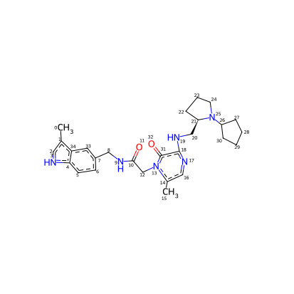 Cc1c[nH]c2ccc(CNC(=O)Cn3c(C)cnc(NC[C@H]4CCCN4C4CCCC4)c3=O)cc12